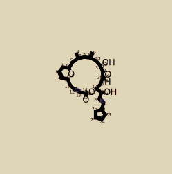 C=C1CC(C)CC2CC=CC(C/C=C\C(=O)OC(C(O)/C=C/C3CC=CC3)C[C@@H]3OC3[C@@H](O)C1)O2